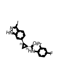 CC(C)c1cc(F)ccc1NC(=O)[C@@H]1C[C@H]1c1ccc2c(I)n[nH]c2c1